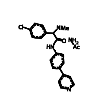 CC(N)=O.CNC(C(=O)Nc1ccc(-c2ccncc2)cc1)c1ccc(Cl)cc1